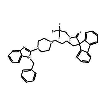 O=C(NCC(F)(F)F)C1(CCCCN2CCN(c3nc4ccccc4n3Cc3ccccc3)CC2)c2ccccc2-c2ccccc21